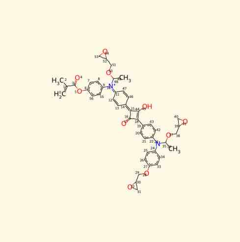 C=C(C)C(=O)Oc1ccc([N+](=C2C=CC(=C3C(=O)C(c4ccc(N(c5ccc(OCC6CO6)cc5)C(C)OCC5CO5)cc4)=C3O)C=C2)C(C)OCC2CO2)cc1